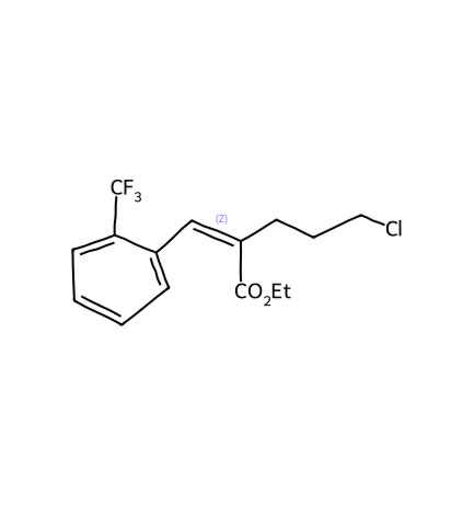 CCOC(=O)/C(=C\c1ccccc1C(F)(F)F)CCCCl